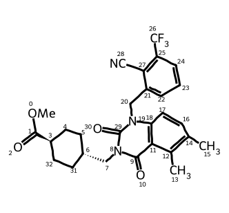 COC(=O)[C@H]1CC[C@H](Cn2c(=O)c3c(C)c(C)ccc3n(Cc3cccc(C(F)(F)F)c3C#N)c2=O)CC1